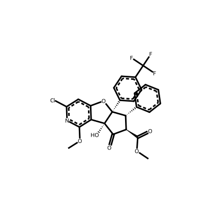 COC(=O)[C@H]1C(=O)[C@@]2(O)c3c(cc(Cl)nc3OC)O[C@@]2(c2ccc(C(F)(F)F)cc2)[C@@H]1c1ccccc1